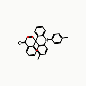 Cc1ccc(N2c3ccccc3C3(c4ccccc4C(=O)c4ccccc43)c3cc(C)ccc32)cc1